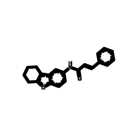 O=C(C=Cc1ccccc1)Nc1ccc2oc3c(c2c1)CCCC3